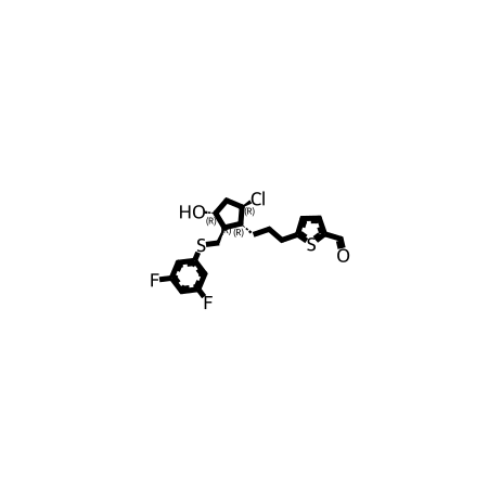 O=Cc1ccc(CCC[C@@H]2[C@@H](CSc3cc(F)cc(F)c3)[C@H](O)C[C@H]2Cl)s1